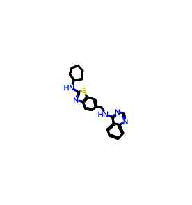 c1ccc2c(NCc3ccc4nc(NC5CCCCC5)sc4c3)ncnc2c1